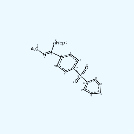 CCCCCCCC(=NOC(C)=O)c1ccc(S(=O)(=O)c2ccccc2)cc1